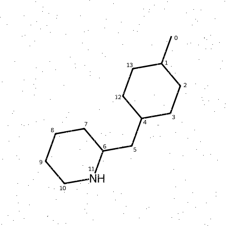 CC1CCC(CC2CCCCN2)CC1